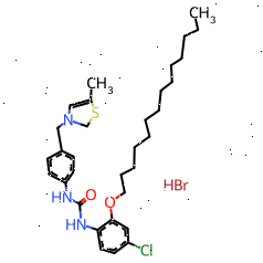 Br.CCCCCCCCCCCCCCOc1cc(Cl)ccc1NC(=O)Nc1ccc(CN2C=C(C)SC2)cc1